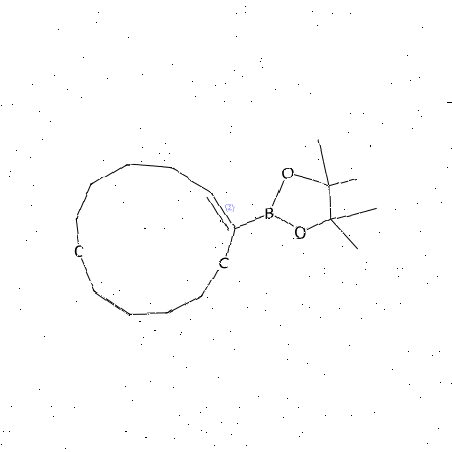 CC1(C)OB(/C2=C/CCCCCCCCCC2)OC1(C)C